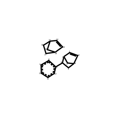 C1=CC2CC1CC2c1ccccc1.C1=CC2CCC1C2